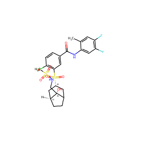 Cc1cc(F)c(F)cc1NC(=O)c1ccc(Cl)c(S(=O)(=O)[C@@H]2CC3CC[C@@H](C2)[C@@]3(O)CNS(C)(=O)=O)c1